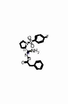 N/C(=N\OC(=O)Cc1ccccc1)[C@@H]1CCCN1S(=O)(=O)c1ccc(F)cc1